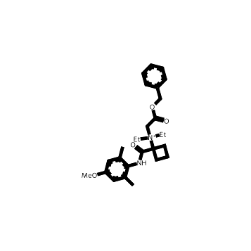 CC[N+](CC)(CC(=O)OCc1ccccc1)C1(C(=O)Nc2c(C)cc(OC)cc2C)CCC1